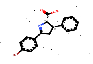 O=C(O)[C@H]1N=C(c2ccc(Br)cc2)C[C@@H]1c1ccccc1